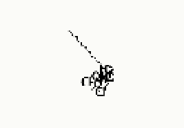 CCCCCCCCCCCCCCCc1cccc(OC(CCC)Nc2cc(Cl)c(C)c(Cl)c2O)c1